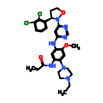 C=CC(=O)Nc1cc(Nc2cc(N3OCC[C@@H]3c3cccc(Cl)c3Cl)ncn2)c(OC)cc1N1CCN(CC)CC1